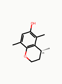 Cc1cc(O)c(C)c2c1OCC[C@H]2C